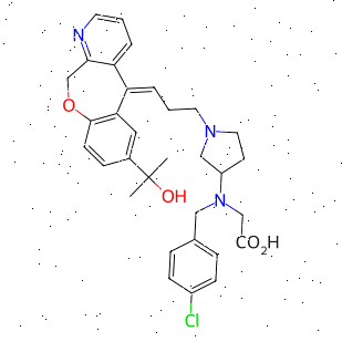 CC(C)(O)c1ccc2c(c1)C(=CCCN1CCC(N(CC(=O)O)Cc3ccc(Cl)cc3)C1)c1cccnc1CO2